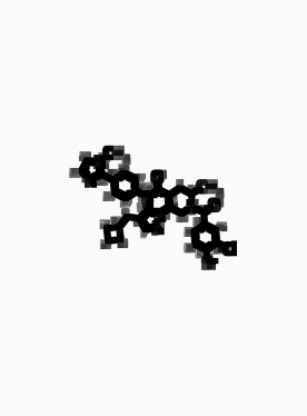 CC1Cc2c(n3ncc(CC4CCC4)c3n(-c3ccc(-c4nccn4C)cc3)c2=O)CN1C(=O)c1ccc(Br)c(Cl)c1